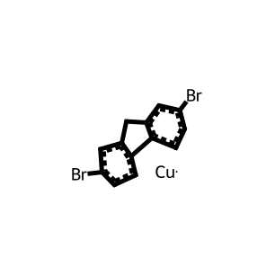 Brc1ccc2c(c1)Cc1cc(Br)ccc1-2.[Cu]